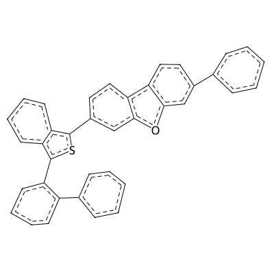 c1ccc(-c2ccc3c(c2)oc2cc(-c4sc(-c5ccccc5-c5ccccc5)c5ccccc45)ccc23)cc1